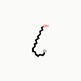 CC/C=C\C/C=C\C/C=C\CC=CCC=CCCCCO